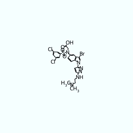 CN(C)CCNc1ccc(-n2cc(Br)c3cc(N(CC(=O)O)S(=O)(=O)c4cc(Cl)cc(Cl)c4)ccc32)nn1